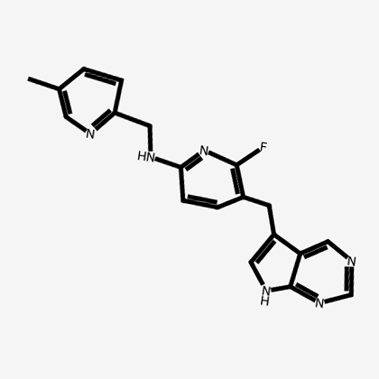 Cc1ccc(CNc2ccc(Cc3c[nH]c4ncncc34)c(F)n2)nc1